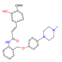 COc1ccc(C=CC(=O)Nc2ccccc2COc2ccc(N3CCN(C)CC3)cc2)cc1O